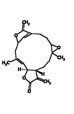 C=C1OC2C=C1CCC1OC1(C)CC[C@@H]1C(=C)C(=O)O[C@H]1/C=C(\C)C2